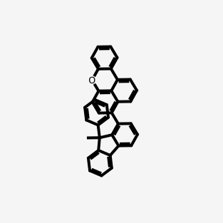 CC1(c2ccccc2)c2ccccc2-c2cccc(-c3ccc4c5c(cccc35)-c3ccccc3O4)c21